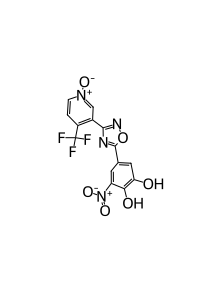 O=[N+]([O-])c1cc(-c2nc(-c3c[n+]([O-])ccc3C(F)(F)F)no2)cc(O)c1O